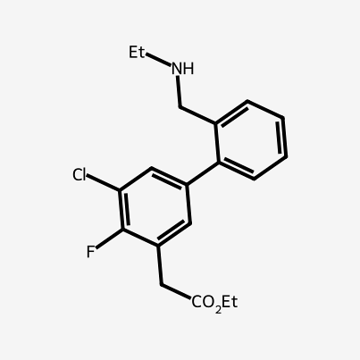 CCNCc1ccccc1-c1cc(Cl)c(F)c(CC(=O)OCC)c1